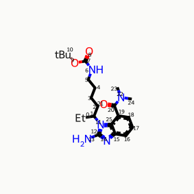 CCC(CCCCNC(=O)OC(C)(C)C)n1c(N)nc2cccc(C(=O)N(C)C)c21